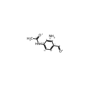 CC(=O)Nc1ccc(C=O)cc1.N